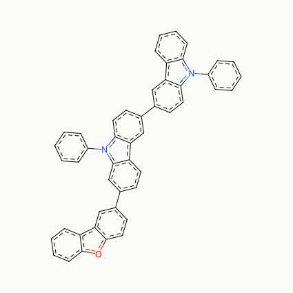 c1ccc(-n2c3ccccc3c3cc(-c4ccc5c(c4)c4ccc(-c6ccc7oc8ccccc8c7c6)cc4n5-c4ccccc4)ccc32)cc1